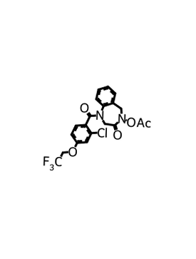 CC(=O)ON1Cc2ccccc2N(C(=O)c2ccc(OCC(F)(F)F)cc2Cl)CC1=O